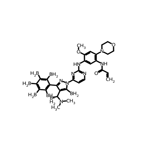 Bc1c(B)c(B)c(-c2nn(-c3ccnc(Nc4cc(NC(=O)C=C)c(N5CCOCC5)cc4OC)n3)c(B)c2C(B)N(C)C)c(B)c1B